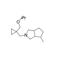 CC(C)OCC1(CN2CC3CCC(C)C3C2)CC1